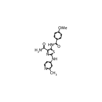 COc1ccc(C(=O)Nc2sc(Nc3ccnc(C)c3)nc2C(N)=O)cc1